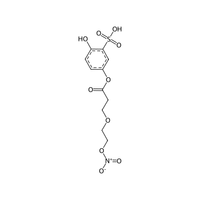 O=C(CCOCCO[N+](=O)[O-])Oc1ccc(O)c(S(=O)(=O)O)c1